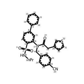 CCCNS(=O)(=O)c1ccc(-c2ccccc2)cc1N(Cc1ccc(C#N)cc1)C(=O)Cc1ccsc1